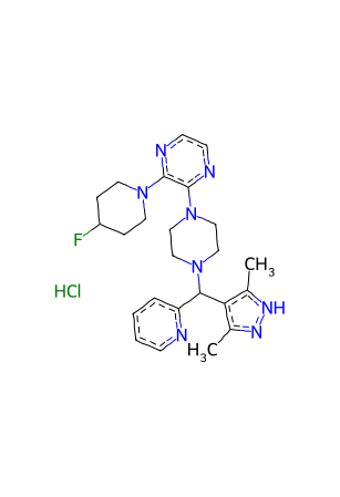 Cc1n[nH]c(C)c1C(c1ccccn1)N1CCN(c2nccnc2N2CCC(F)CC2)CC1.Cl